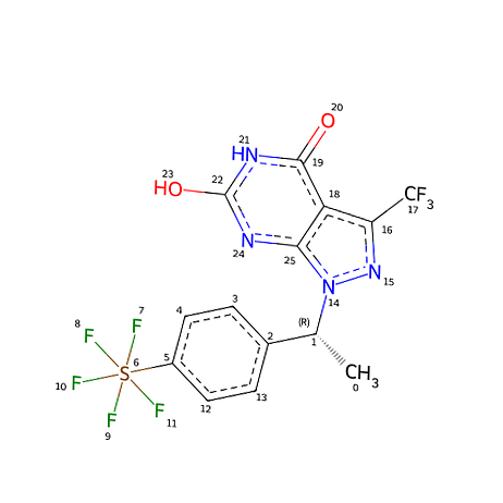 C[C@H](c1ccc(S(F)(F)(F)(F)F)cc1)n1nc(C(F)(F)F)c2c(=O)[nH]c(O)nc21